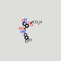 CCc1cc2c(cc1CC)CC(NCC(O)c1ccc(OC(=O)CC(=O)O)c3[nH]c(=O)ccc13)C2